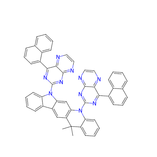 CC1(C)c2ccccc2N(c2nc(-c3cccc4ccccc34)c3nccnc3n2)c2cc3c(cc21)c1ccccc1n3-c1nc(-c2cccc3ccccc23)c2nccnc2n1